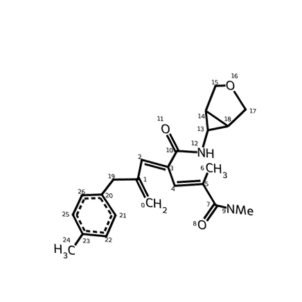 C=C(/C=C(\C=C(/C)C(=O)NC)C(=O)NC1C2COCC21)Cc1ccc(C)cc1